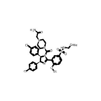 CCOc1ccc(S(=O)(=O)NCOC)cc1C1=N[C@@H](c2ccc(Cl)cc2)[C@@H](c2ccc(Cl)cc2)N1C(=O)N1CCN(CC(N)=O)CC1